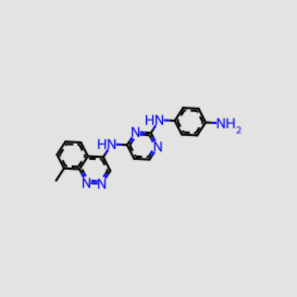 Cc1cccc2c(Nc3ccnc(Nc4ccc(N)cc4)n3)cnnc12